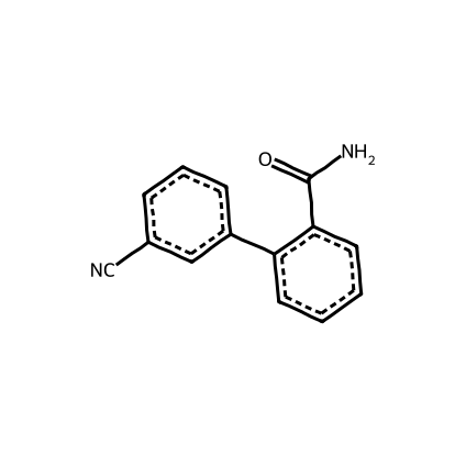 N#Cc1cccc(-c2ccccc2C(N)=O)c1